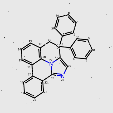 c1ccc([Si]2(c3ccccc3)Cc3cccc4c5ccccc5c5ncc2n5c34)cc1